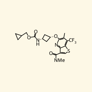 CNC(=O)c1csc2c(C(F)(F)F)c(C)c(O[C@H]3C[C@@H](NC(=O)OCC4CC4)C3)nc12